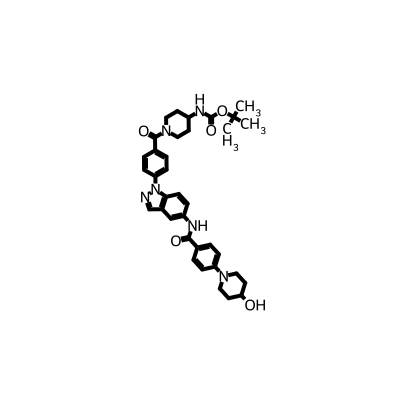 CC(C)(C)OC(=O)NC1CCN(C(=O)c2ccc(-n3ncc4cc(NC(=O)c5ccc(N6CCC(O)CC6)cc5)ccc43)cc2)CC1